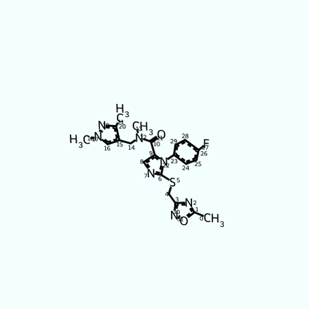 Cc1nc(CSc2ncc(C(=O)N(C)Cc3cn(C)nc3C)n2-c2ccc(F)cc2)no1